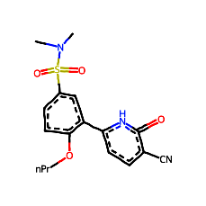 CCCOc1ccc(S(=O)(=O)N(C)C)cc1-c1ccc(C#N)c(=O)[nH]1